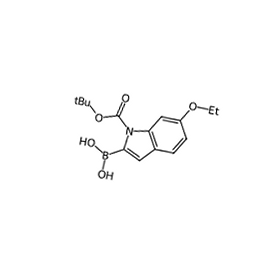 CCOc1ccc2cc(B(O)O)n(C(=O)OC(C)(C)C)c2c1